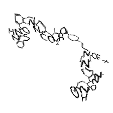 Cc1c(OC2CCC(CCCN3CCN(c4ccc5c(C6CCC(=O)NC6=O)nn(C)c5c4)CC3C(F)(F)F)CC2)cccc1-c1ccc(N2CCc3cccc(C(=O)Nc4nc5ccccc5s4)c3C2)nc1C(=O)O